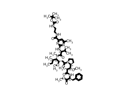 CC[C@H](C)[C@@H]([C@H](CC(=O)N1CCC[C@H]1[C@H](OC)[C@@H](C)C(=O)N[C@@H](Cc1ccccc1)C(=O)OC)OC)N(C)C(=O)[C@@H](Nc1nc(C)cc(C(=O)NCCNC(=O)OC(C)(C)C)n1)C(C)C